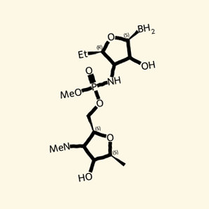 B[C@@H]1O[C@H](CC)C(NP(=O)(OC)OC[C@H]2O[C@@H](C)C(O)C2NC)C1O